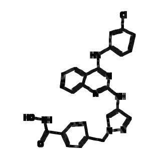 O=C(NO)c1ccc(Cn2cc(Nc3nc(Nc4cccc(Cl)c4)c4ccccc4n3)cn2)cc1